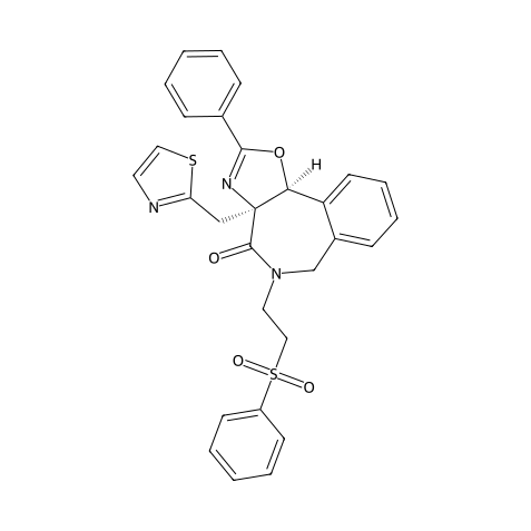 O=C1N(CCS(=O)(=O)c2ccccc2)Cc2ccccc2[C@@H]2OC(c3ccccc3)=N[C@]12Cc1nccs1